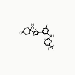 Cc1cc(Nc2nccc(C(F)(F)F)n2)cc(-c2cnc(C3(O)CCC(=O)CC3)s2)c1